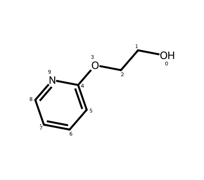 OCCOc1cc[c]cn1